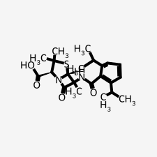 CC(C)c1cccc(C(C)C)c1C(=O)NC1(C)C(=O)N2[C@@H](C(=O)O)C(C)(C)S[C@@H]21